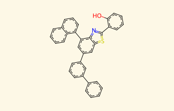 Oc1ccccc1-c1nc2c(-c3cccc4ccccc34)cc(-c3cccc(-c4ccccc4)c3)cc2s1